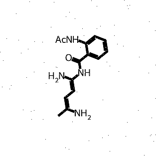 CC(=O)Nc1ccccc1C(=O)N/C(N)=C/C=C(/C)N